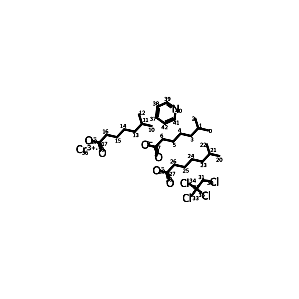 CC(C)CCCCC(=O)[O-].CC(C)CCCCC(=O)[O-].CC(C)CCCCC(=O)[O-].ClCC(Cl)(Cl)Cl.[Cr+3].c1ccncc1